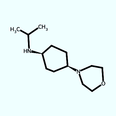 CC(C)N[C@H]1CC[C@@H](N2CCOCC2)CC1